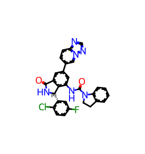 O=C1N[C@@H](c2cc(F)ccc2Cl)c2c(NC(=O)N3CCc4ccccc43)cc(-c3ccc4ncnn4c3)cc21